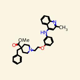 COC(=O)C1(Cc2ccccc2)CCN(CCOc2cccc(Nc3cc(C)nc4ccccc34)c2)CC1